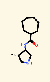 C[C@H]1CNC[C@@H]1NC(=O)C1CCCCCC1